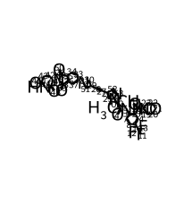 CC(C)(C(=O)Nc1ccc(C(F)(F)F)cc1C(=O)N1CCOCC1)n1cc(C#CC2CN(c3ccc4c(c3)C(=O)N(C3CCC(=O)NC3=O)C4=O)C2)cn1